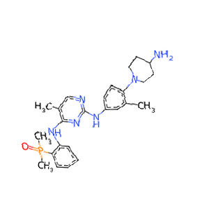 Cc1cc(Nc2ncc(C)c(Nc3ccccc3P(C)(C)=O)n2)ccc1N1CCC(N)CC1